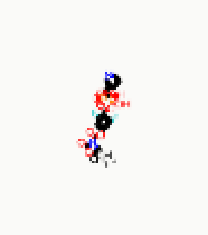 CC1(C)CN(C(=O)Oc2cc(F)c(C3OP(=O)(O)C(O)(Cc4cccnc4)P(=O)(O)O3)c(F)c2)C(=O)O1